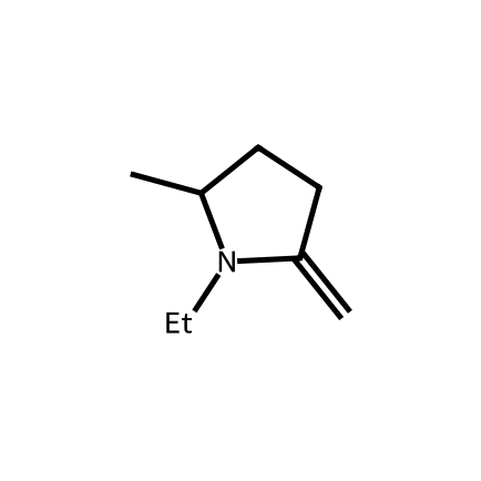 C=C1CCC(C)N1CC